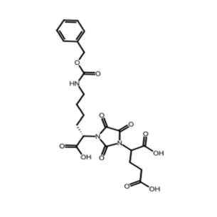 O=C(O)CCC(C(=O)O)N1C(=O)C(=O)N([C@@H](CCCCNC(=O)OCc2ccccc2)C(=O)O)C1=O